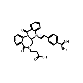 N=C(N)c1ccc(/C=C/N2c3ccccc3C(=O)N3c4ccccc4C(=O)N(CCC(=O)O)CC23)cc1